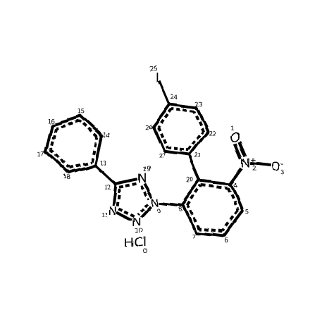 Cl.O=[N+]([O-])c1cccc(-n2nnc(-c3ccccc3)n2)c1-c1ccc(I)cc1